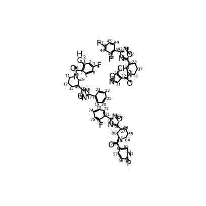 Cc1cc(F)ccc1C(=O)N1CCC[C@H](c2nc(-c3ccccc3)no2)C1.Cc1oncc1C(=O)N1CCC[C@H](c2nc(-c3ccc(F)cc3F)no2)C1.O=C(c1ccc(F)nc1)N1CCC[C@H](c2nc(-c3ccccc3F)no2)C1